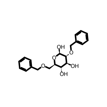 O[C@H]1[C@H](O)[C@@H](COCc2ccccc2)O[C@@H](O)[C@@H]1OCc1ccccc1